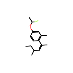 CCC(C)/C=C(/C)c1ccc(OC(C)F)cc1C